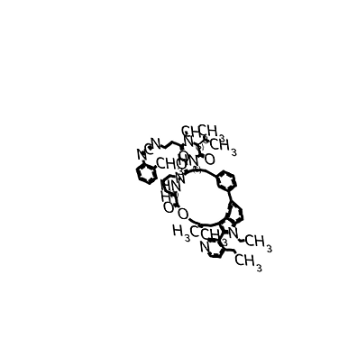 CCc1ccncc1-c1c2c3cc(ccc3n1CC)-c1cccc(c1)C[C@H](NC(=O)[C@H](C(C)C)N(C)C(=O)CCN=C=Nc1ccccc1C)C(=O)N1CCC[C@H](N1)C(=O)OCC(C)(C)C2